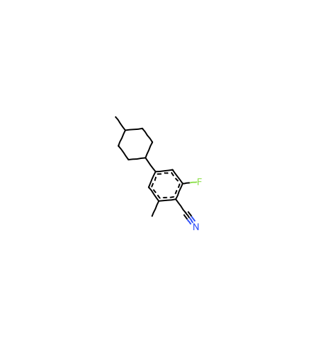 Cc1cc(C2CCC(C)CC2)cc(F)c1C#N